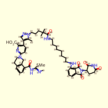 C/N=C(/NC(=O)c1cccc2c1CN(c1ccc(-c3cnn(CCCC(C)(C)C(=O)NCCCCCCCCNc4cccc5c4C(=O)N(C4CCC(=O)NC4=O)C5=O)c3C)c(C(=O)O)n1)CC2)SC